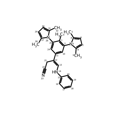 Cc1c(-n2c(C)ccc2C)cc(C(=CNc2ccccc2)CC#N)cc1-n1c(C)ccc1C